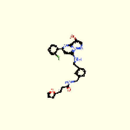 O=C(/C=C/c1ccco1)NCc1cccc(CNc2cc(-c3ccccc3Cl)nc3c(Br)cnn23)c1